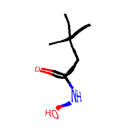 CC(C)(C)CC(=O)NO